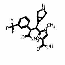 Cn1cc(C(=O)O)nc1C(C(C(N)=O)c1cccc(C(F)(F)F)c1)C1C2CNCC21